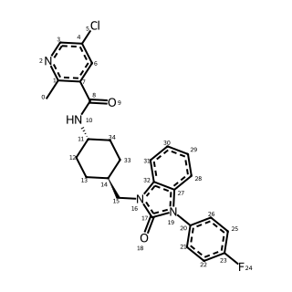 Cc1ncc(Cl)cc1C(=O)N[C@H]1CC[C@H](Cn2c(=O)n(-c3ccc(F)cc3)c3ccccc32)CC1